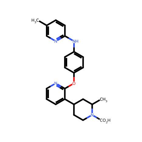 Cc1ccc(Nc2ccc(Oc3ncccc3C3CCN(C(=O)O)C(C)C3)cc2)nc1